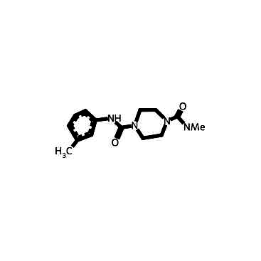 CNC(=O)N1CCN(C(=O)Nc2cccc(C)c2)CC1